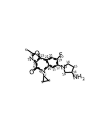 Cc1nc2c(=O)n(C3CC3)c3cc(N4CCC(N)C4)c(F)cc3c2o1